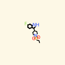 CCCS(=O)(=O)N1CCC(c2c[nH]c3cc(F)ccc23)CC1